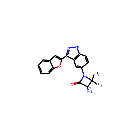 CC1(C)[C@@H](N)C(=O)N1c1ccc2[nH]nc(-c3cc4ccccc4o3)c2c1